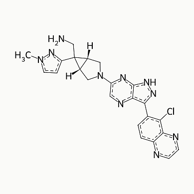 Cn1ccc(C2(CN)[C@@H]3CN(c4cnc5c(-c6ccc7nccnc7c6Cl)n[nH]c5n4)C[C@@H]32)n1